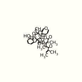 CC=C(C)C(=O)[C@@H](C)[C@H](O)[C@@H](C)C(=O)O[C@H]1C=COC=C2C[C@@]3(SC)C(=O)N4[C@H]5C(=CC=C[C@@H]5O)C[C@@]4(SC)C(=O)N3[C@@H]21